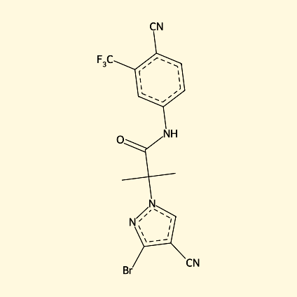 CC(C)(C(=O)Nc1ccc(C#N)c(C(F)(F)F)c1)n1cc(C#N)c(Br)n1